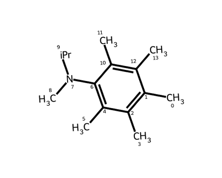 Cc1c(C)c(C)c(N(C)C(C)C)c(C)c1C